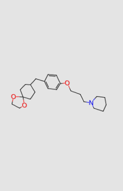 c1cc(OCCCN2CCCCC2)ccc1CC1CCC2(CC1)OCCO2